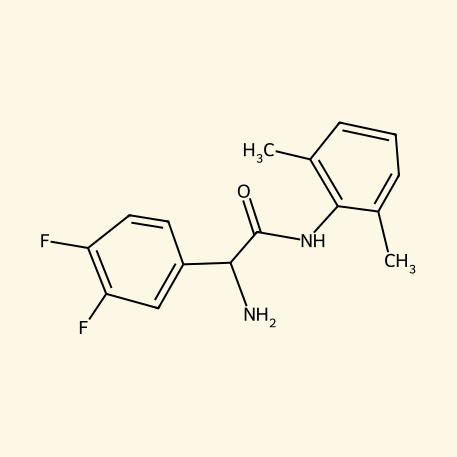 Cc1cccc(C)c1NC(=O)C(N)c1ccc(F)c(F)c1